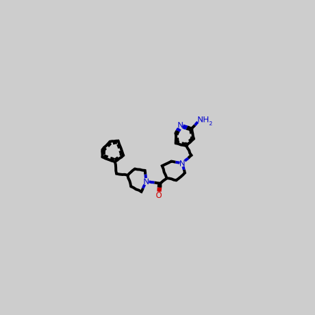 Nc1cc(CN2CCC(C(=O)N3CCC(Cc4ccccc4)CC3)CC2)ccn1